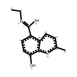 CC/N=C(\S)c1ccc(O)c2nc(C)ccc12